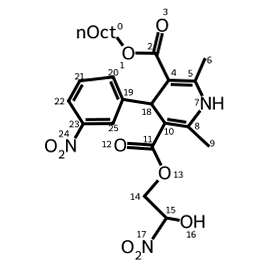 CCCCCCCCOC(=O)C1=C(C)NC(C)=C(C(=O)OCC(O)[N+](=O)[O-])C1c1cccc([N+](=O)[O-])c1